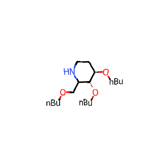 CCCCOCC1NCC[C@@H](OCCCC)[C@@H]1OCCCC